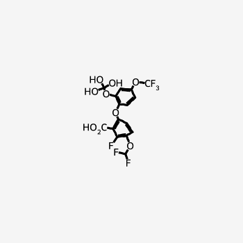 O=C(O)c1c(Oc2ccc(OC(F)(F)F)cc2OC(O)(O)O)ccc(OC(F)F)c1F